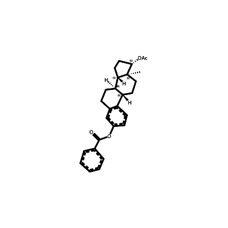 CC(=O)O[C@H]1CC[C@H]2[C@@H]3CCc4cc(OC(=O)c5ccccc5)ccc4[C@H]3CC[C@]12C